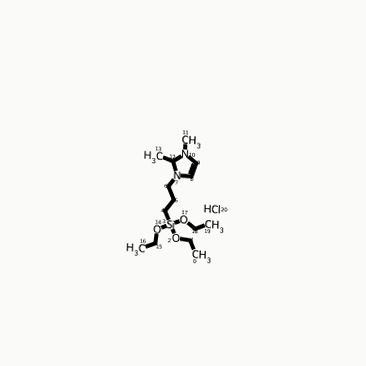 CCO[Si](CCCN1C=CN(C)C1C)(OCC)OCC.Cl